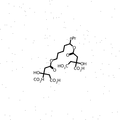 CCCC(CCCCOC(=O)CC(O)(CC(=O)O)C(=O)O)OC(=O)CC(O)(CC(=O)O)C(=O)O